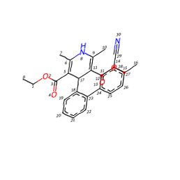 CCOC(=O)C1=C(C)NC(C)=C(C(=O)OCC)C1c1ccccc1-c1cccc(C#N)c1